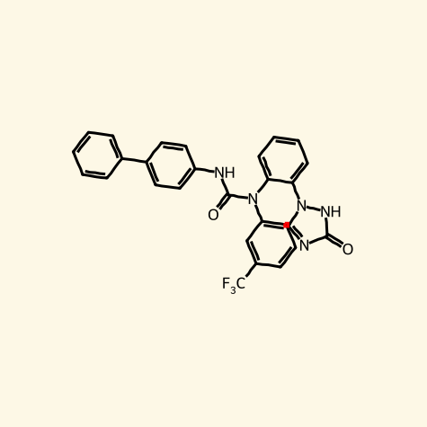 O=C(Nc1ccc(-c2ccccc2)cc1)N(c1cccc(C(F)(F)F)c1)c1ccccc1-n1cnc(=O)[nH]1